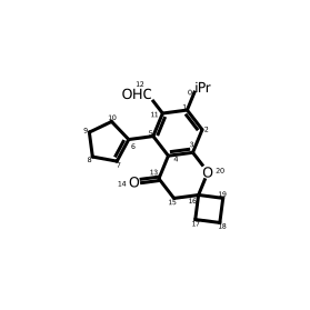 CC(C)c1cc2c(c(C3=CCCC3)c1C=O)C(=O)CC1(CCC1)O2